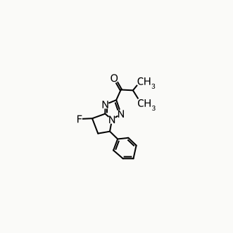 CC(C)C(=O)c1nc2n(n1)C(c1ccccc1)CC2F